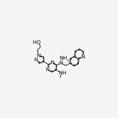 CNc1cnc(-c2cnn(CCO)c2)nc1N(N)Cc1ccc2ncccc2c1